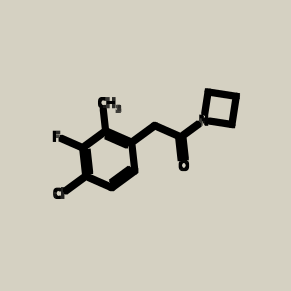 Cc1c(CC(=O)N2CCC2)ccc(Cl)c1F